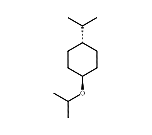 CC(C)O[C@H]1CC[C@H](C(C)C)CC1